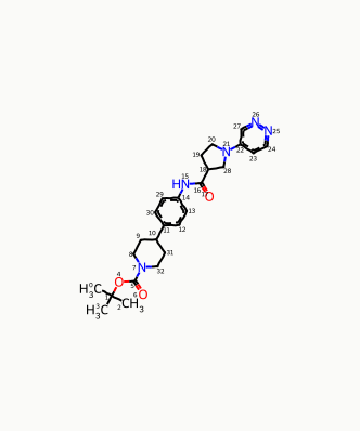 CC(C)(C)OC(=O)N1CCC(c2ccc(NC(=O)C3CCN(c4ccnnc4)C3)cc2)CC1